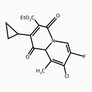 CCOC(=O)C1=C(C2CC2)C(=O)C2C(C)=C(Cl)C(F)=CN2C1=O